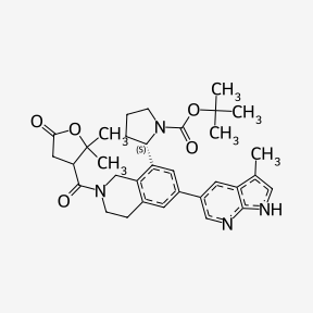 Cc1c[nH]c2ncc(-c3cc4c(c([C@@H]5CCCN5C(=O)OC(C)(C)C)c3)CN(C(=O)C3CC(=O)OC3(C)C)CC4)cc12